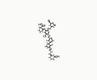 Cc1c(COc2cc(OCc3cncc(C#N)c3)c(CN3CCCC[C@H]3C(=O)O)cc2Cl)cccc1-c1cccc(OCCCN2CCC[C@H](O)C2)c1C